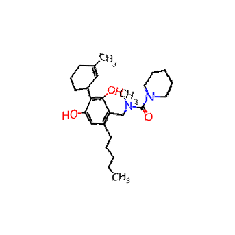 CCCCCc1cc(O)c(C2C=C(C)CCC2)c(O)c1CN(C)C(=O)N1CCCCC1